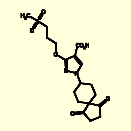 CS(=O)(=O)CCCOc1nn(C2CCC3(CC2)C(=O)CCC3=O)cc1C(=O)O